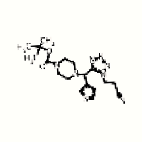 CC(C)(C)OC(=O)N1CCN(C(c2ccsc2)c2nnnn2CCC#N)CC1